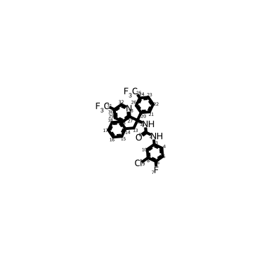 O=C(Nc1ccc(F)c(Cl)c1)NC(Cc1ccccc1)(c1cccc(C(F)(F)F)c1)c1ccc(C(F)(F)F)cn1